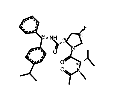 CC(=O)N(C)[C@H](C(=O)N1C[C@H](F)C[C@H]1C(=O)N[C@@H](c1ccccc1)c1ccc(C(C)C)cc1)C(C)C